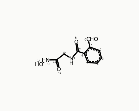 O=Cc1ccccc1C(=O)NCC(=O)NO